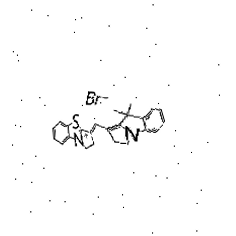 CC1(C)C2=C(C=C3CC[n+]4c3sc3ccccc34)CCN2c2ccccc21.[Br-]